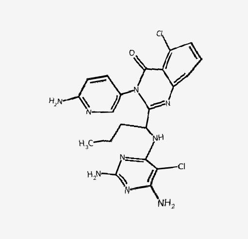 CCCC(Nc1nc(N)nc(N)c1Cl)c1nc2cccc(Cl)c2c(=O)n1-c1ccc(N)nc1